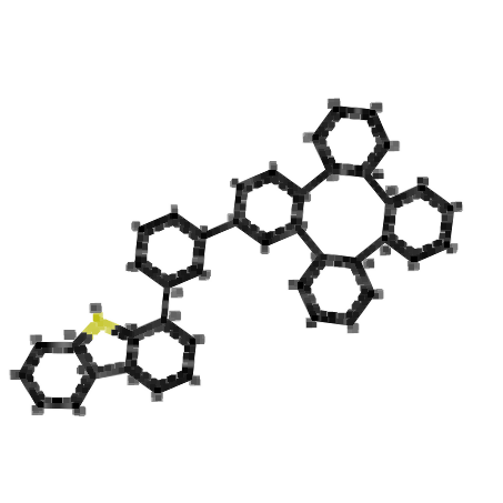 c1cc(-c2ccc3c(c2)-c2ccccc2-c2ccccc2-c2ccccc2-3)cc(-c2cccc3c2sc2ccccc23)c1